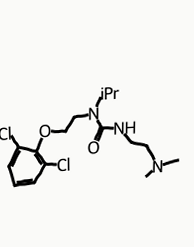 CC(C)N(CCOc1c(Cl)cccc1Cl)C(=O)NCCN(C)C